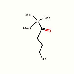 CO[Si](OC)(OC)C(=O)CCCC(C)C